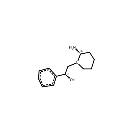 N[C@H]1CCCCN1C[C@@H](O)c1ccccc1